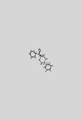 O=C(c1ccccc1)N1CC[C](c2ccccc2)CC1